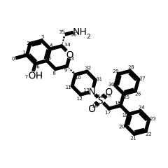 Cc1ccc2c(c1O)C[C@@H](C1CCN(S(=O)(=O)CC(c3ccccc3)c3ccccc3)CC1)O[C@H]2CN